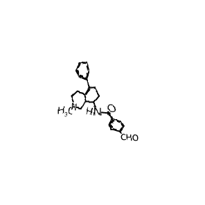 CN1CCC2=C(c3ccccc3)CCC(NC(=O)c3ccc(C=O)cc3)C2C1